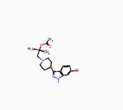 CC(=O)OC(C)(C)CN1CCC(c2n[nH]c3cc(Br)ccc23)CC1